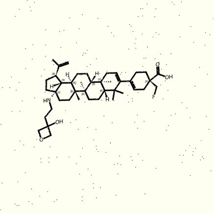 C=C(C)[C@@H]1CC[C@]2(NCCC3(O)COC3)CC[C@]3(C)[C@H](CC[C@@H]4[C@@]5(C)CC=C(C6=CC[C@@](CF)(C(=O)O)CC6)C(C)(C)[C@@H]5CC[C@]43C)[C@@H]12